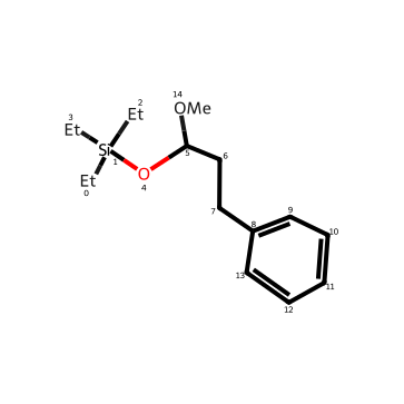 CC[Si](CC)(CC)OC(CCc1ccccc1)OC